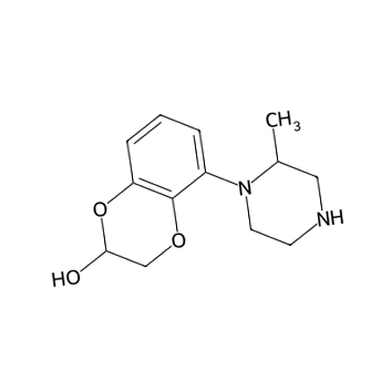 CC1CNCCN1c1cccc2c1OCC(O)O2